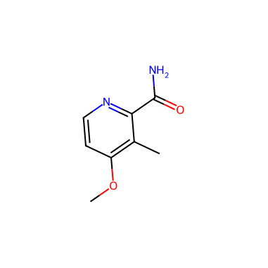 COc1ccnc(C(N)=O)c1C